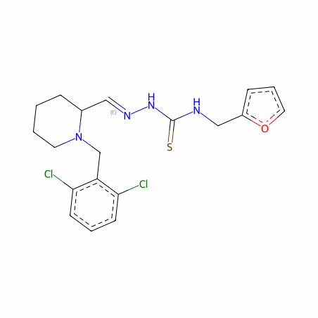 S=C(NCc1ccco1)N/N=C/C1CCCCN1Cc1c(Cl)cccc1Cl